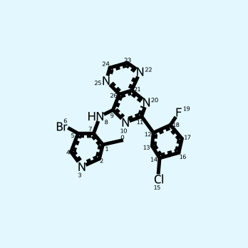 Cc1cncc(Br)c1Nc1nc(-c2cc(Cl)ccc2F)nc2nccnc12